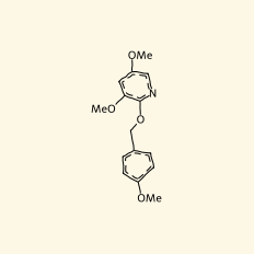 COc1ccc(COc2ncc(OC)cc2OC)cc1